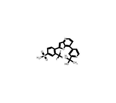 CC(C)(O)c1cc(-c2ccnc3cc(-c4ccc(S(C)(=O)=O)cc4C(F)(F)F)oc23)ccn1